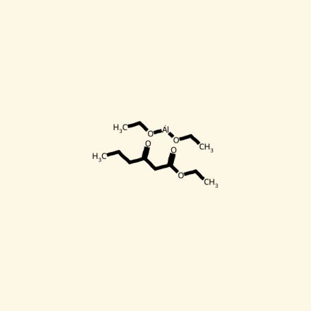 CCCC(=O)CC(=O)OCC.CC[O][Al][O]CC